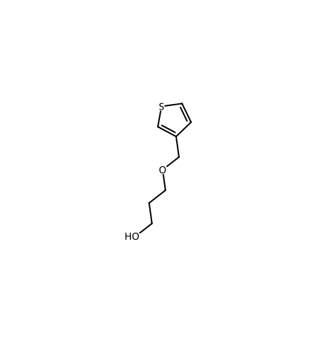 OCCCOCc1ccsc1